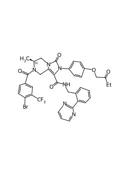 CCC(=O)COc1ccc(-n2c(C(=O)NCc3ccccc3-c3ncccn3)c3n(c2=O)C[C@H](C)N(C(=O)c2ccc(Br)c(C(F)(F)F)c2)C3)cc1